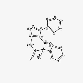 CCC1(c2ccccc2)C(=O)Nc2scc(-c3ccccc3)c2C1=O